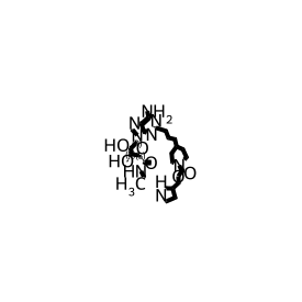 CCNC(=O)[C@H]1O[C@@H](n2cnc3c(N)nc(CCCC4CCN(C(=O)OCC5CCNC5)CC4)nc32)C(O)[C@H]1O